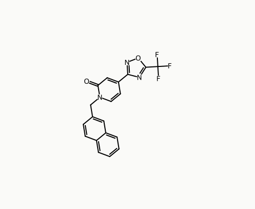 O=c1cc(-c2noc(C(F)(F)F)n2)ccn1Cc1ccc2ccccc2c1